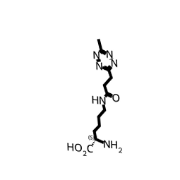 Cc1nnc(CCC(=O)NCCCC[C@H](N)C(=O)O)nn1